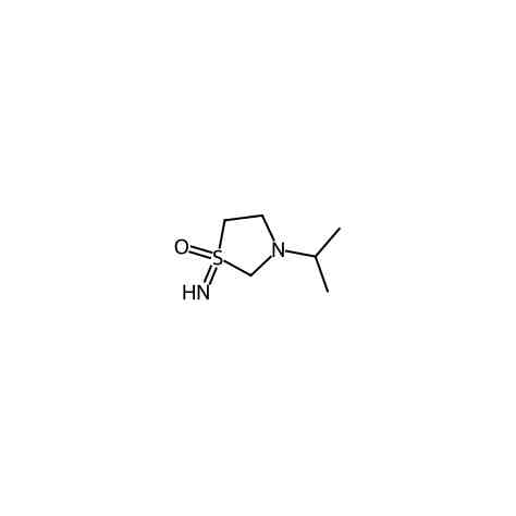 CC(C)N1CCS(=N)(=O)C1